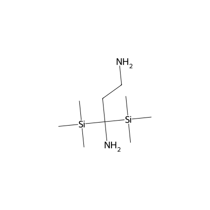 C[Si](C)(C)C(N)(CCN)[Si](C)(C)C